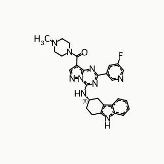 CN1CCN(C(=O)c2cnn3c(N[C@@H]4CCc5[nH]c6ccccc6c5C4)nc(-c4cncc(F)c4)nc23)CC1